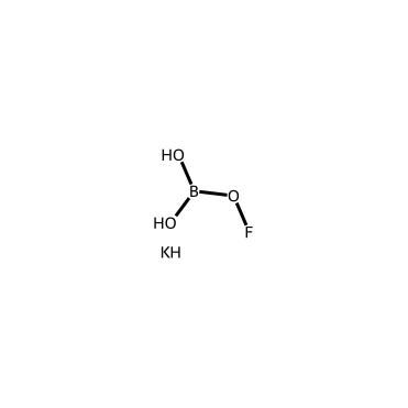 OB(O)OF.[KH]